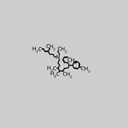 C=C/C=C(\C=C)CCCN(CCC)CCCC(C)C(=C)C(=C)CCC(C/C=C\C=C/C)C1C#CC=C(C)C=C1